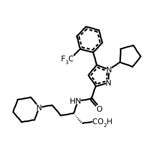 O=C(O)C[C@H](CCN1CCCCC1)NC(=O)c1cc(-c2ccccc2C(F)(F)F)n(C2CCCC2)n1